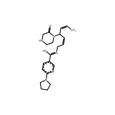 C/C=C\C(/C=C\C/N=C(\S)c1ccc(N2CCCC2)nc1)N1CCNCC1=O